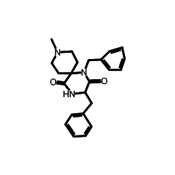 CN1CCC2(CC1)C(=O)NC(Cc1ccccc1)C(=O)N2Cc1ccccc1